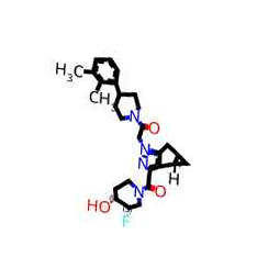 Cc1cccc(C2CCN(C(=O)Cn3nc(C(=O)N4CC[C@@H](O)[C@@H](F)C4)c4c3CC3C[C@H]43)CC2)c1C